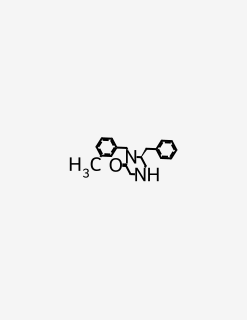 Cc1cccc(CN2C(=O)CNC[C@@H]2Cc2ccccc2)c1